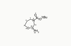 CC(C)(C)OC(=O)N1CCCO[C@H](P)C1